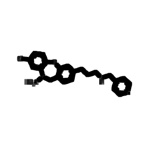 O=C(O)N1Cc2ccc(CCCNCc3ccncc3)cc2Oc2ccc(Cl)cc21